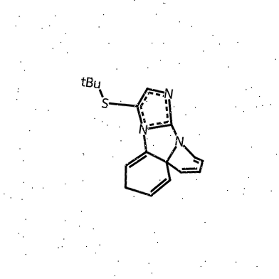 CC(C)(C)Sc1cnc2n1C1=CCC=CC13C=CC=CN23